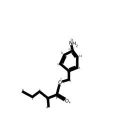 CCCC(C)C(=O)OCc1ccc(N)cc1